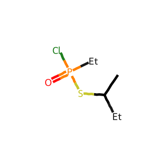 CCC(C)SP(=O)(Cl)CC